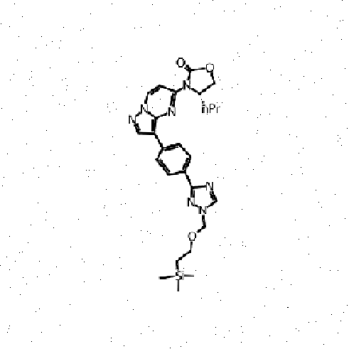 CCC[C@H]1COC(=O)N1c1ccn2ncc(-c3ccc(-c4ncn(COCC[Si](C)(C)C)n4)cc3)c2n1